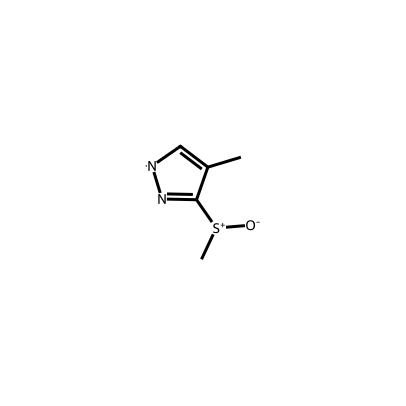 CC1=C[N]N=C1[S+](C)[O-]